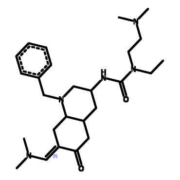 CCN(CCN(C)C)C(=O)NC1CC2CC(=O)/C(=C/N(C)C)CC2N(Cc2ccccc2)C1